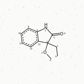 CCC1(OC)C(=O)Nc2ccccc21